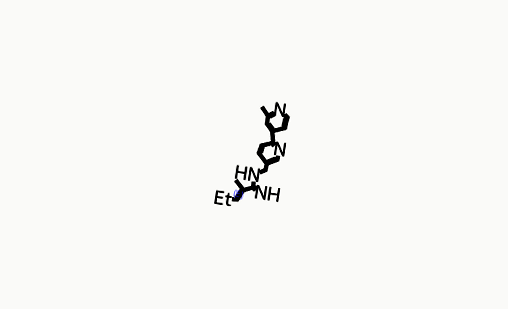 CC/C=C(\C)C(=N)NCc1ccc(-c2ccnc(C)c2)nc1